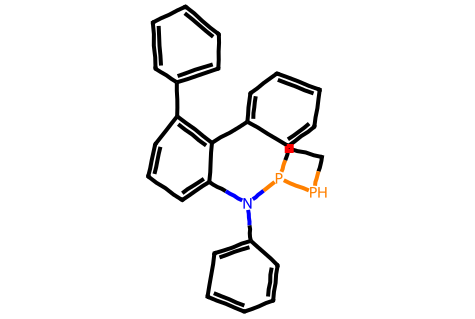 c1ccc(-c2cccc(N(c3ccccc3)P3CCP3)c2-c2ccccc2)cc1